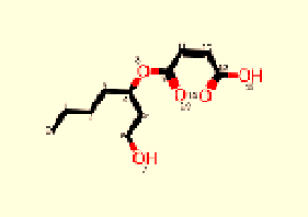 CCCCC(CCO)OC(=O)/C=C\C(=O)O